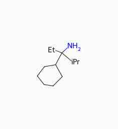 CCC(N)(C(C)C)C1CCCCC1